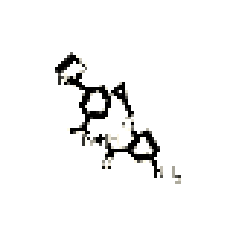 CC(NNC(=O)c1cc(N)ccc1OCC1CC1)c1cccc(-c2nccs2)c1